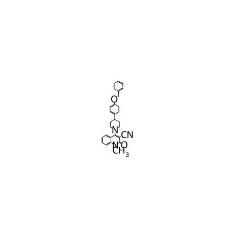 Cn1c(=O)c(C#N)c(N2CCC(c3ccc(OCc4ccccc4)cc3)CC2)c2ccccc21